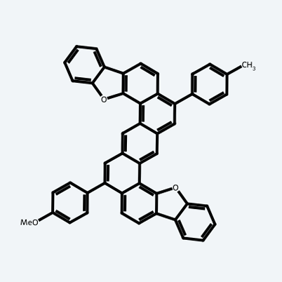 COc1ccc(-c2cc3cc4c(cc(-c5ccc(C)cc5)c5ccc6c7ccccc7oc6c54)cc3c3c2ccc2c4ccccc4oc23)cc1